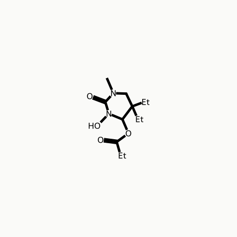 CCC(=O)OC1N(O)C(=O)N(C)CC1(CC)CC